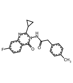 Cc1ccc(CC(=O)Nn2c(C3CC3)nc3cc(F)ccc3c2=O)cc1